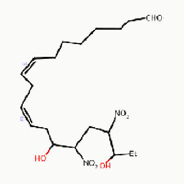 CCC(O)C(CC(C(O)C/C=C\C/C=C\CCCCCC[C]=O)[N+](=O)[O-])[N+](=O)[O-]